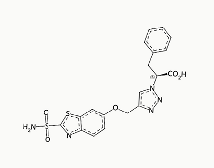 NS(=O)(=O)c1nc2ccc(OCc3cn([C@@H](Cc4ccccc4)C(=O)O)nn3)cc2s1